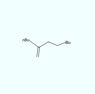 [CH2]CCCC(=C)CCC(C)CC